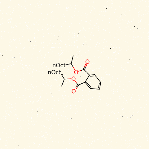 CCCCCCCCC(C)OC(=O)c1ccccc1C(=O)OC(C)CCCCCCCC